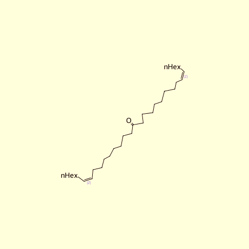 CCCCCC/C=C\CCCCCCCCC(=O)CCCCCCCC/C=C\CCCCCC